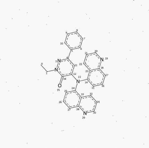 CCn1nc(-c2ccccc2)cc(N(c2cccc3ncccc23)c2cccc3ncccc23)c1=O